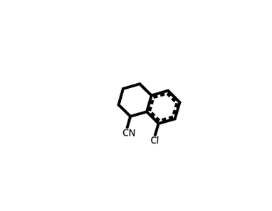 N#CC1CCCc2cccc(Cl)c21